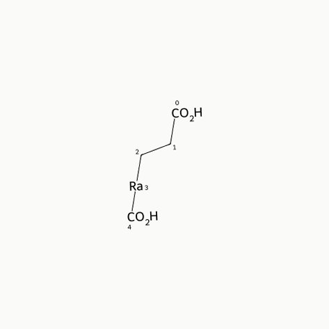 O=C(O)C[CH2][Ra][C](=O)O